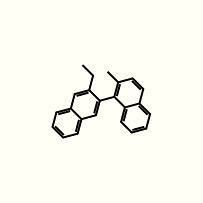 CCc1[c]c2ccccc2cc1-c1c(C)ccc2ccccc12